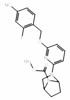 CC(C)(C)OC(=O)N1C2CCC1N(c1cccc(OCc3ccc(C#N)cc3F)n1)C2